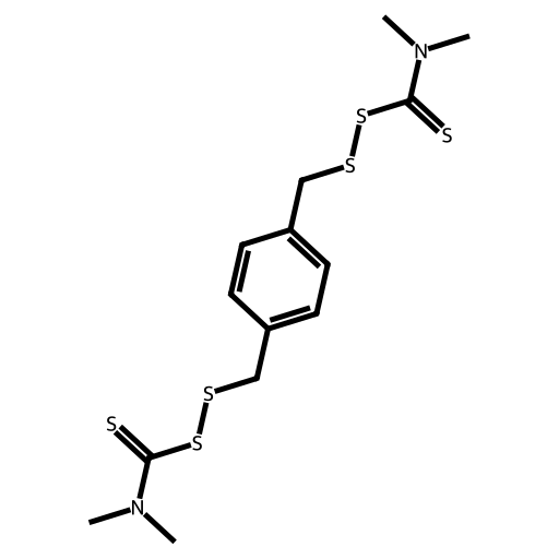 CN(C)C(=S)SSCc1ccc(CSSC(=S)N(C)C)cc1